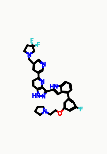 Fc1cc(OCCN2CCCC2)cc(-c2cccc3[nH]c(-c4n[nH]c5ccc(-c6cncc(CN7CCC(F)(F)C7)c6)nc45)cc23)c1